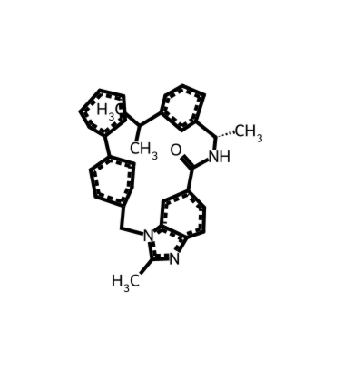 Cc1nc2ccc(C(=O)N[C@@H](C)c3cccc(C(C)C)c3)cc2n1Cc1ccc(-c2ccccc2)cc1